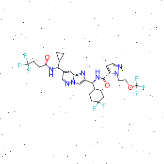 O=C(CCC(F)(F)F)NC(c1cnn2cc([C@@H](NC(=O)c3ccnn3CCOC(F)(F)F)C3CCC(F)(F)CC3)nc2c1)C1CC1